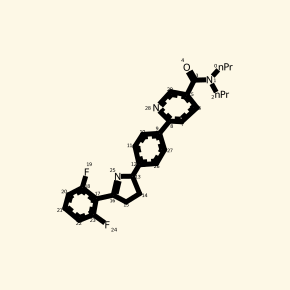 CCCN(CCC)C(=O)c1ccc(-c2ccc(C3CCC(c4c(F)cccc4F)=N3)cc2)nc1